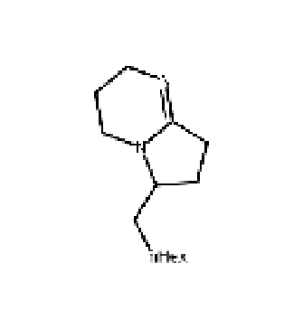 CCCCCCCC1CCC2=NCCCN21